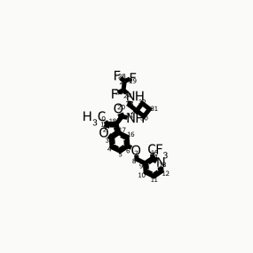 Cc1oc2ccc(OCc3cccnc3C(F)(F)F)cc2c1C(=O)NC1(CNC(F)C(F)F)CCC1